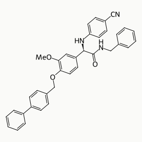 COc1cc([C@@H](Nc2ccc(C#N)cc2)C(=O)NCc2ccccc2)ccc1OCc1ccc(-c2ccccc2)cc1